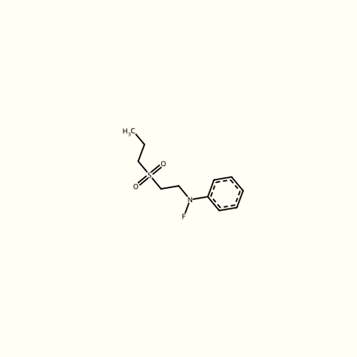 CCCS(=O)(=O)CCN(F)c1ccccc1